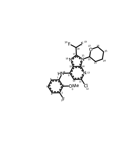 COc1c(F)cccc1Nc1cc(Cl)nc2c1nc(C(F)F)n2C1CCCCO1